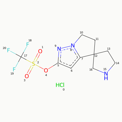 Cl.O=S(=O)(Oc1cc2n(n1)CCC21CCNC1)C(F)(F)F